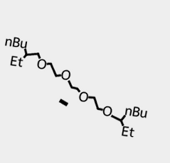 C=C.CCCCC(CC)COCCOCCOCCOCC(CC)CCCC